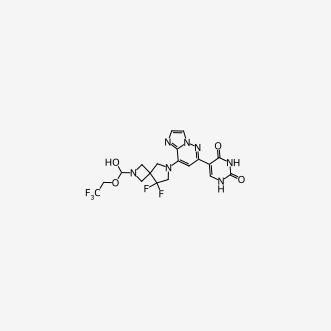 O=c1[nH]cc(-c2cc(N3CC(F)(F)C4(C3)CN(C(O)OCC(F)(F)F)C4)c3nccn3n2)c(=O)[nH]1